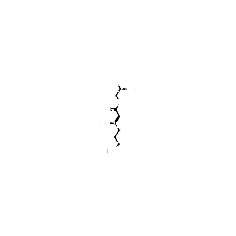 CCCC/C(C)=C/C(=O)OCC(C)C